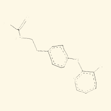 Nc1cccnc1Nc1ccc(CCNC(=O)O)cc1